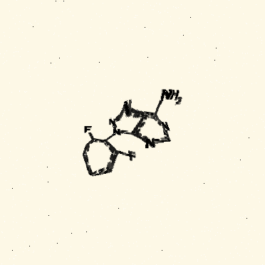 Nc1ncnc2c1nnn2-c1c(F)cccc1F